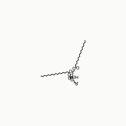 CCCCCCCCCCCCCCCC(=O)OCC(COP(=O)(O)OCCN(C)C)OC(=O)CCCCCCCCCCCCCCC